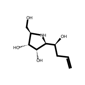 C=CC[C@H](O)[C@@H]1N[C@H](CO)[C@@H](O)[C@H]1O